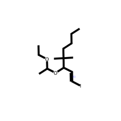 CCCCC(C)(C)C(/C=C/I)OC(C)OCC